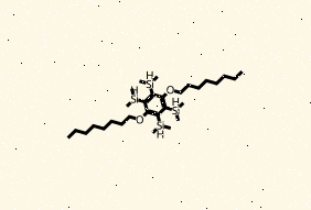 CCCCCCCCOc1c([SiH](C)C)c([SiH](C)C)c(OCCCCCCCC)c([SiH](C)C)c1[SiH](C)C